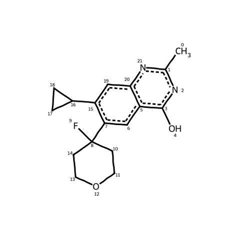 Cc1nc(O)c2cc(C3(F)CCOCC3)c(C3CC3)cc2n1